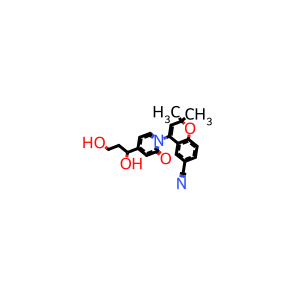 CC1(C)C=C(n2ccc(C(O)CCO)cc2=O)c2cc(C#N)ccc2O1